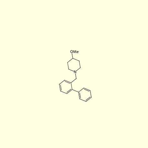 COC1CCN(Cc2ccccc2-c2ccccc2)CC1